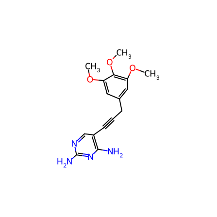 COc1cc(CC#Cc2cnc(N)nc2N)cc(OC)c1OC